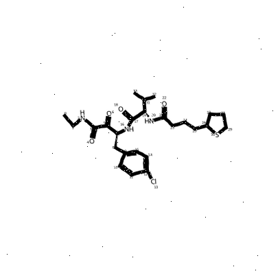 CCNC(=O)C(=O)[C@H](Cc1ccc(Cl)cc1)NC(=O)[C@@H](NC(=O)CCCC1CCCS1)C(C)C